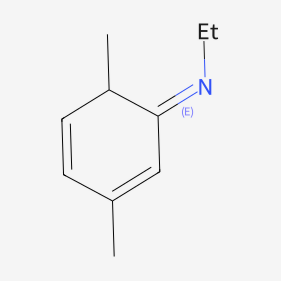 CC/N=C1/C=C(C)C=CC1C